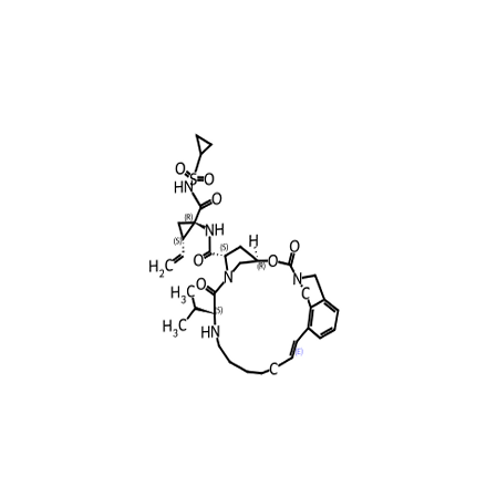 C=C[C@@H]1C[C@]1(NC(=O)[C@@H]1C[C@@H]2CN1C(=O)[C@H](C(C)C)NCCCCC/C=C/c1cccc3c1CN(C3)C(=O)O2)C(=O)NS(=O)(=O)C1CC1